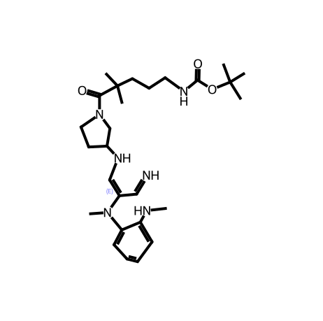 CNc1ccccc1N(C)/C(C=N)=C/NC1CCN(C(=O)C(C)(C)CCCNC(=O)OC(C)(C)C)C1